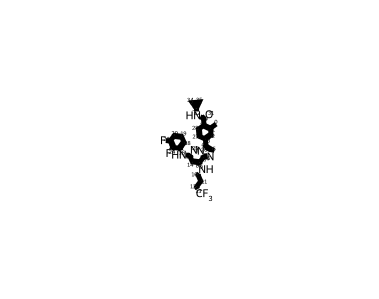 Cc1cc(-c2cnc3c(NCCCC(F)(F)F)cc(Nc4cccc(F)c4F)nn23)ccc1C(=O)NC1CC1